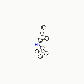 c1ccc(-c2ccc(-c3ccc(Nc4ccc5c(c4)C(c4ccccc4)(c4ccccc4)c4ccccc4-5)cc3-c3ccccc3)cc2)cc1